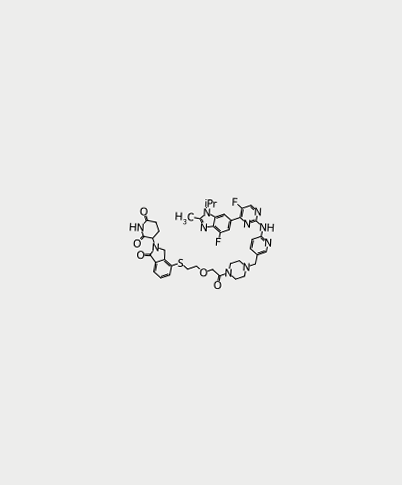 Cc1nc2c(F)cc(-c3nc(Nc4ccc(CN5CCN(C(=O)COCCSc6cccc7c6CN(C6CCC(=O)NC6=O)C7=O)CC5)cn4)ncc3F)cc2n1C(C)C